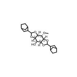 CO[C@@H]1[C@@H]2OC(C3CC4CCC3C4)O[C@@H]2[C@@H](O)[C@@H]2OC(C3CC4CCC3C4)O[C@@H]12